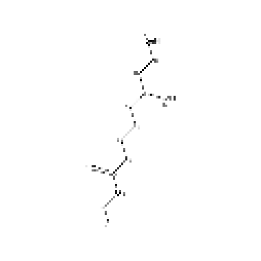 CCOC(=O)CCCCC([SeH])CC[SeH]